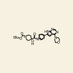 CC(C)(C)OC(=O)N1CCC(O)(C(=O)Nc2ccc(-c3cc4c(N5CCOCC5)ncnc4[nH]3)cc2)CC1